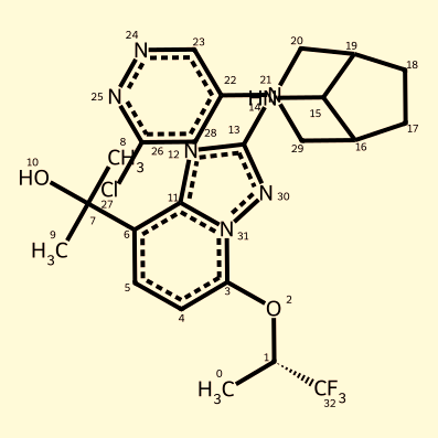 C[C@H](Oc1ccc(C(C)(C)O)c2nc(NC3C4CCC3CN(c3cnnc(Cl)c3)C4)nn12)C(F)(F)F